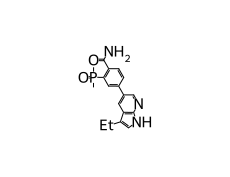 CCc1c[nH]c2ncc(-c3ccc(C(N)=O)c(P(C)(C)=O)c3)cc12